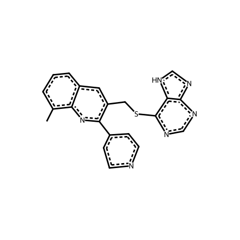 Cc1cccc2cc(CSc3ncnc4nc[nH]c34)c(-c3ccncc3)nc12